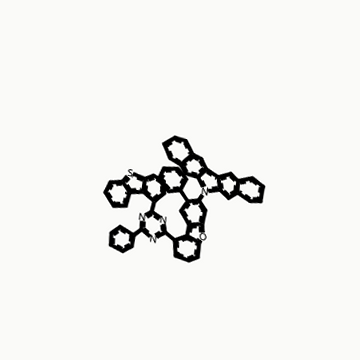 c1ccc(-c2nc(-c3cccc4oc5cc(-n6c7cc8ccccc8cc7c7cc8ccccc8cc76)c(-c6ccccc6)cc5c34)nc(-c3cccc4sc5ccccc5c34)n2)cc1